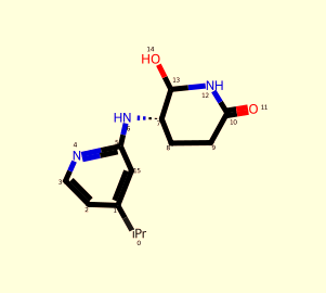 CC(C)c1ccnc(N[C@H]2CCC(=O)NC2O)c1